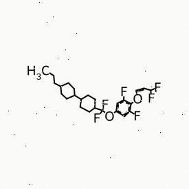 CCCC1CCC(C2CCC(C(F)(F)Oc3cc(F)c(O/C=C\C(F)F)c(F)c3)CC2)CC1